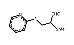 CSC(C=O)CSc1ccccn1